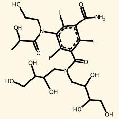 CC(O)C(=O)N(CCO)c1c(I)c(C(N)=O)c(I)c(C(=O)N(CC(O)C(O)CO)CC(O)C(O)CO)c1I